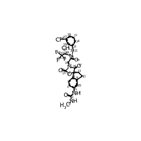 CNC(=O)Nc1ccc2c(c1)CCC21OC(=O)N(CC(=O)N(Cc2cccc(Cl)c2)[C@@H](C)C(F)(F)F)C1=O